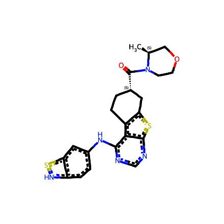 C[C@H]1COCCN1C(=O)[C@H]1CCc2c(sc3ncnc(Nc4ccc5[nH]sc5c4)c23)C1